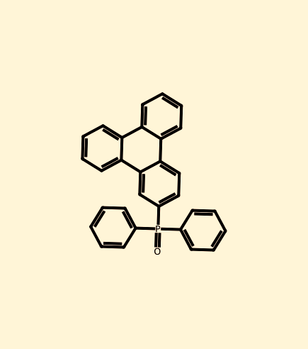 O=P(c1ccccc1)(c1ccccc1)c1ccc2c3ccccc3c3ccccc3c2c1